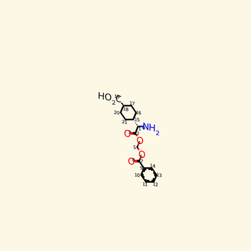 NC(C(=O)OCOC(=O)c1ccccc1)[C@H]1CC[C@H](C(=O)O)CC1